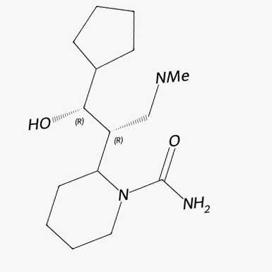 CNC[C@H](C1CCCCN1C(N)=O)[C@H](O)C1CCCC1